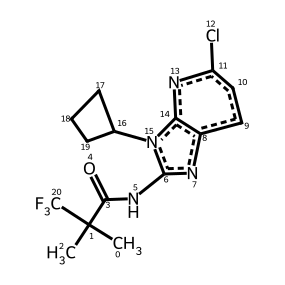 CC(C)(C(=O)Nc1nc2ccc(Cl)nc2n1C1CCC1)C(F)(F)F